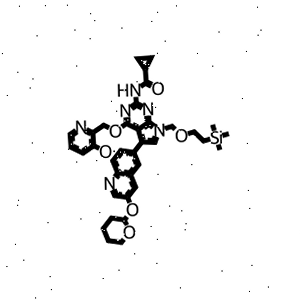 C[Si](C)(C)CCOCn1cc(-c2ccc3ncc(OC4CCCCO4)cc3c2)c2c(OCc3ncccc3[O])nc(NC(=O)C3CC3)nc21